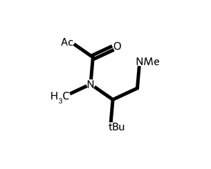 CNCC(N(C)C(=O)C(C)=O)C(C)(C)C